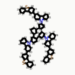 c1cc(-c2cccc(-n3c4ccccc4c4cc(-c5ccc6sc7ccccc7c6c5)ccc43)c2)cc(-c2cc(-n3c4ccccc4c4cc(-c5ccc6sc7ccccc7c6c5)ccc43)ccc2-c2cccc(-n3c4ccccc4c4cc(-c5ccc6sc7ccccc7c6c5)ccc43)c2)c1